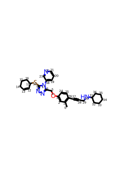 Cc1cc(OCc2nnc(SC3C=CCCC3)n2-c2cccnc2)ccc1C#CCNC1CCCCC1